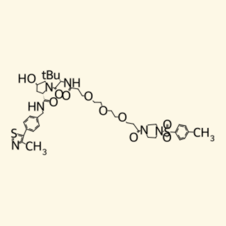 Cc1ccc(S(=O)(=O)N2CCN(C(=O)CCOCCOCCOCCC(=O)N[C@H](C(=O)N3C[C@H](O)C[C@H]3C(=O)NCc3ccc(-c4scnc4C)cc3)C(C)(C)C)CC2)cc1